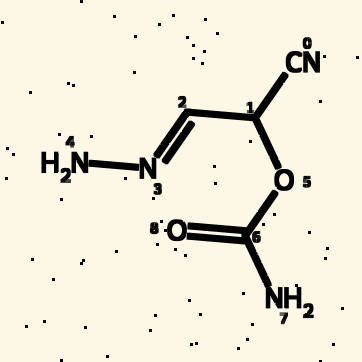 N#CC(C=NN)OC(N)=O